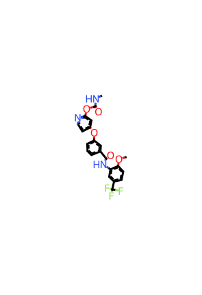 CNC(=O)Oc1cc(Oc2cccc(C(=O)Nc3cc(C(F)(F)F)ccc3OC)c2)ccn1